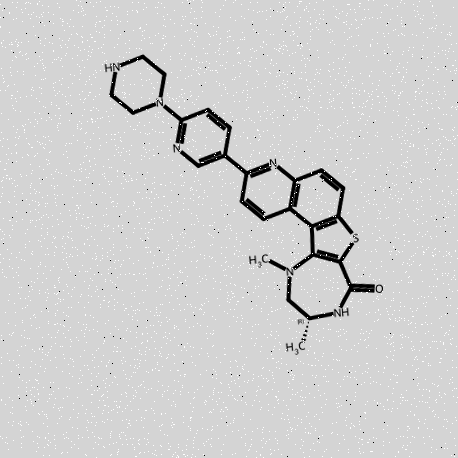 C[C@@H]1CN(C)c2c(sc3ccc4nc(-c5ccc(N6CCNCC6)nc5)ccc4c23)C(=O)N1